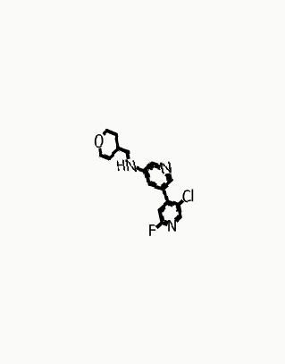 Fc1cc(-c2cncc(NCC3CCOCC3)c2)c(Cl)cn1